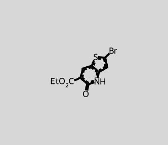 CCOC(=O)c1cc2sc(Br)cc2[nH]c1=O